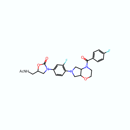 CC(=O)NCC1CN(c2ccc(N3CC4OCCN(C(=O)c5ccc(F)cc5)C4C3)c(F)c2)C(=O)O1